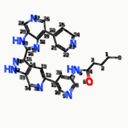 CCCCC(=O)Nc1cncc(-c2cc3c(-c4nc5c(-c6ccncc6)cncc5[nH]4)n[nH]c3cn2)c1